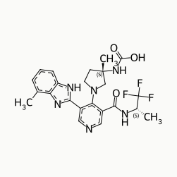 Cc1cccc2[nH]c(-c3cncc(C(=O)N[C@@H](C)C(F)(F)F)c3N3CC[C@](C)(NC(=O)O)C3)nc12